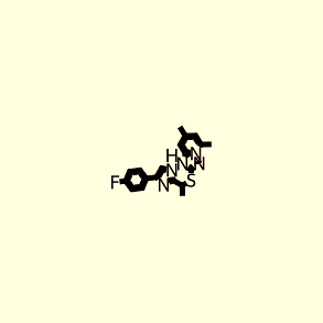 Cc1cc(C)n2nc(SC(C)c3nc(-c4ccc(F)cc4)c[nH]3)nc2c1